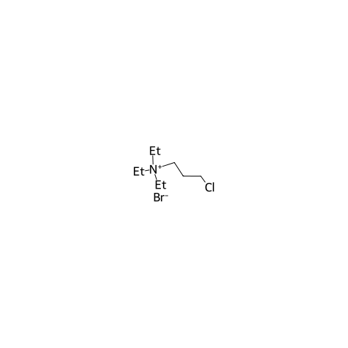 CC[N+](CC)(CC)CCCCl.[Br-]